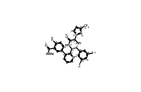 CNC(=O)c1cc(-c2cccnc2[C@H](Cc2cc(F)cc(F)c2)NC(=O)C(C(C)C)n2ccc(C(F)(F)F)n2)ccc1F